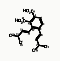 O=C(O)c1ccc(C=CC(Cl)Cl)c(C=CC(Cl)Cl)c1C(=O)O